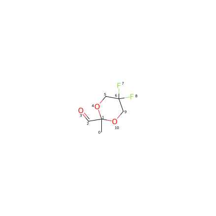 CC1(C=O)OCC(F)(F)CO1